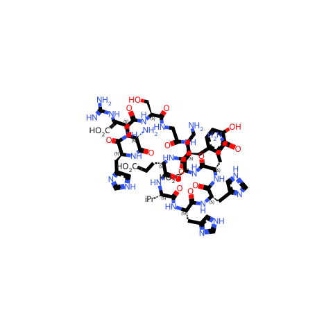 CC(C)[C@H](NC(=O)[C@H](CCC(=O)O)NC(=O)[C@H](Cc1ccc(O)cc1)NC(=O)CNC(=O)[C@H](CO)NC(=O)[C@H](CC(=O)O)NC(=O)[C@H](Cc1c[nH]cn1)NC(=O)[C@@H](N)CCCNC(=N)N)C(=O)N[C@@H](Cc1c[nH]cn1)C(=O)N[C@@H](Cc1c[nH]cn1)C(=O)N[C@@H](CCC(N)=O)C(=O)N[C@@H](CCCCN)C(=O)O